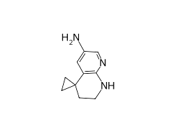 Nc1cnc2c(c1)C1(CCN2)CC1